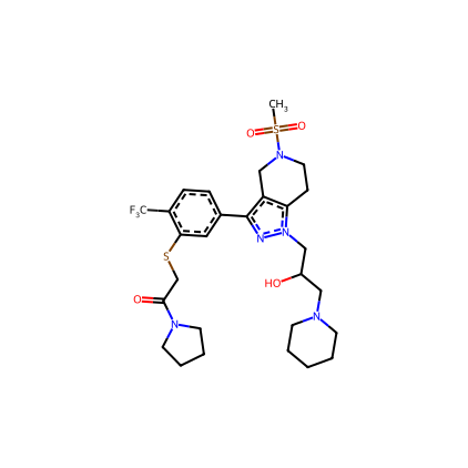 CS(=O)(=O)N1CCc2c(c(-c3ccc(C(F)(F)F)c(SCC(=O)N4CCCC4)c3)nn2CC(O)CN2CCCCC2)C1